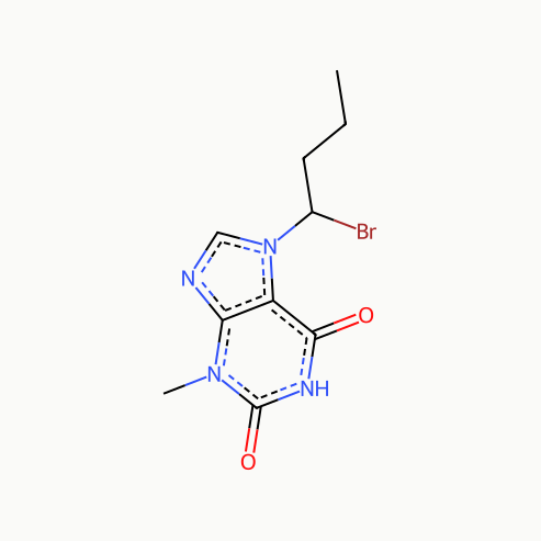 CCCC(Br)n1cnc2c1c(=O)[nH]c(=O)n2C